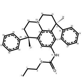 CCCSC(=O)Nc1cc2c3c(c1)[C@](C)(c1ccccc1)CCN3CC[C@@]2(C)c1ccccc1